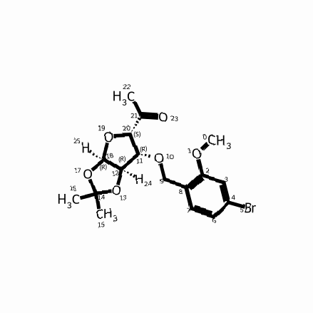 COc1cc(Br)ccc1CO[C@@H]1[C@H]2OC(C)(C)O[C@H]2O[C@@H]1C(C)=O